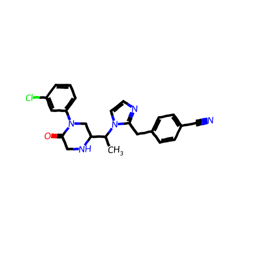 CC(C1CN(c2cccc(Cl)c2)C(=O)CN1)n1ccnc1Cc1ccc(C#N)cc1